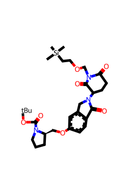 CC(C)(C)OC(=O)N1CCC[C@@H]1COc1ccc2c(c1)CN(C1CCC(=O)N(COCC[Si](C)(C)C)C1=O)C2=O